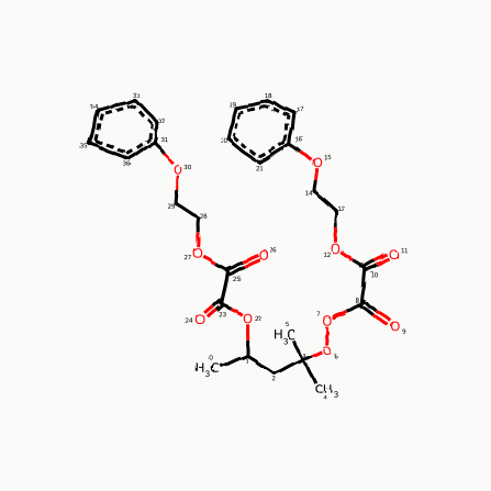 CC(CC(C)(C)OOC(=O)C(=O)OCCOc1ccccc1)OC(=O)C(=O)OCCOc1ccccc1